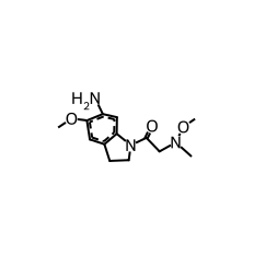 COc1cc2c(cc1N)N(C(=O)CN(C)OC)CC2